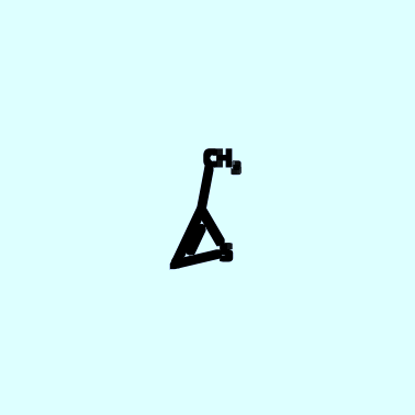 CC1=CS1